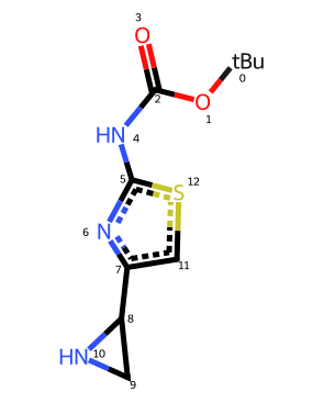 CC(C)(C)OC(=O)Nc1nc(C2CN2)cs1